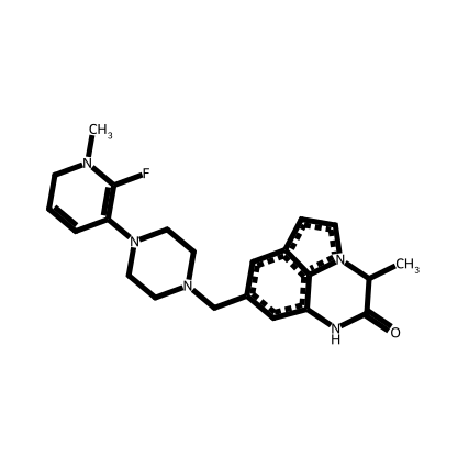 CC1C(=O)Nc2cc(CN3CCN(C4=C(F)N(C)CC=C4)CC3)cc3ccn1c23